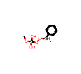 CO[Si](O)(O)OO[SiH2]c1ccccc1